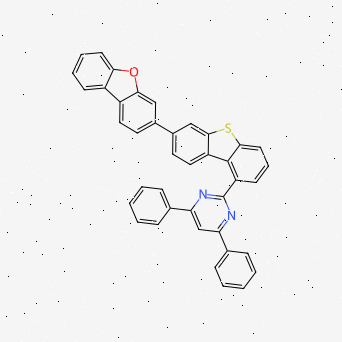 c1ccc(-c2cc(-c3ccccc3)nc(-c3cccc4sc5cc(-c6ccc7c(c6)oc6ccccc67)ccc5c34)n2)cc1